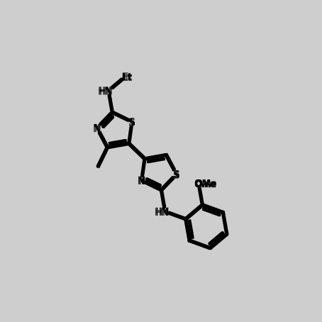 CCNc1nc(C)c(-c2csc(Nc3ccccc3OC)n2)s1